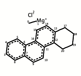 [CH3][Mg+].[Cl-].c1ccc2c(c1)ccc1c3c(ccc12)CCCC3